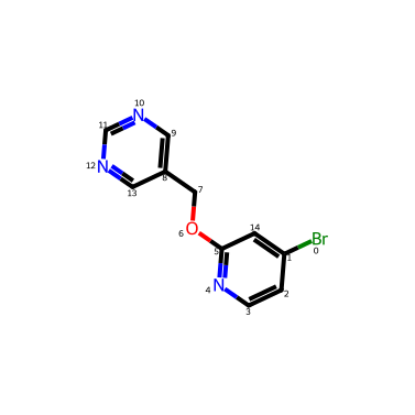 Brc1ccnc(OCc2cncnc2)c1